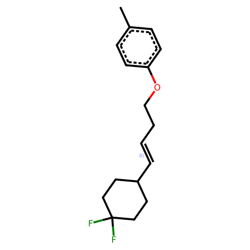 Cc1ccc(OCC/C=C/C2CCC(F)(F)CC2)cc1